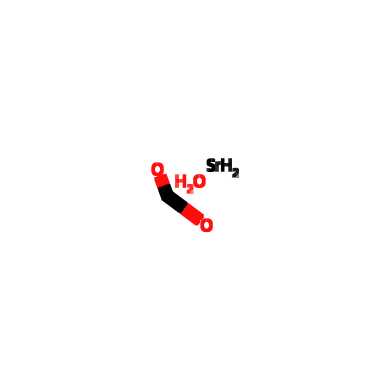 O.O=C=O.[SrH2]